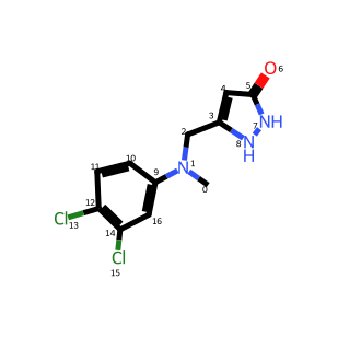 CN(Cc1cc(=O)[nH][nH]1)c1ccc(Cl)c(Cl)c1